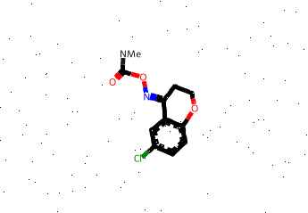 CNC(=O)ON=C1CCOc2ccc(Cl)cc21